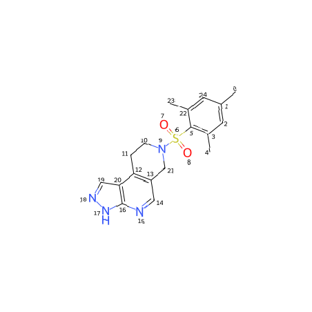 Cc1cc(C)c(S(=O)(=O)N2CCc3c(cnc4[nH]ncc34)C2)c(C)c1